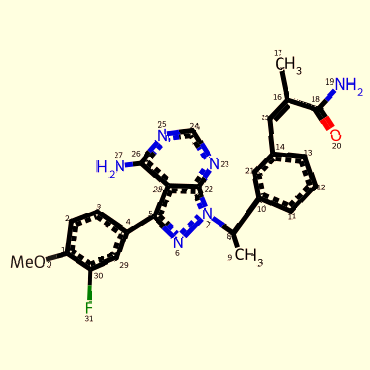 COc1ccc(-c2nn(C(C)c3cccc(C=C(C)C(N)=O)c3)c3ncnc(N)c23)cc1F